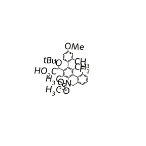 COc1ccc(-c2c(C)c3c(c(C)c2[C@H](OC(C)(C)C)C(=O)O)N(S(C)(=O)=O)Cc2cccc(F)c2-3)c(C)c1